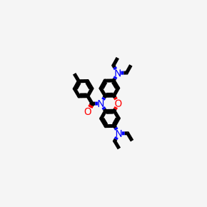 CCN(CC)c1ccc2c(c1)Oc1cc(N(CC)CC)ccc1N2C(=O)c1ccc(C)cc1